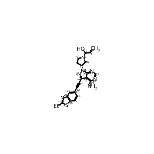 C=CC(O)N1CC[C@H](n2nc(C#Cc3ccc4sc(CC)nc4c3)c3c(N)ncnc32)C1